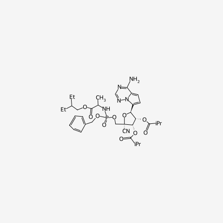 CCC(CC)COC(=O)C(C)NP(=O)(OCc1ccccc1)OC[C@@]1(C#N)O[C@@H](c2ccc3c(N)ncnn23)[C@H](OC(=O)C(C)C)[C@@H]1OC(=O)C(C)C